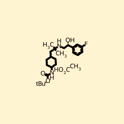 CC(=O)O.CC(C)(CC1CCC(NC(=O)OC(C)(C)C)CC1)NC[C@H](O)c1cccc(F)c1